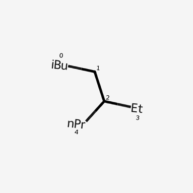 [CH2]CC(C)CC(CC)CCC